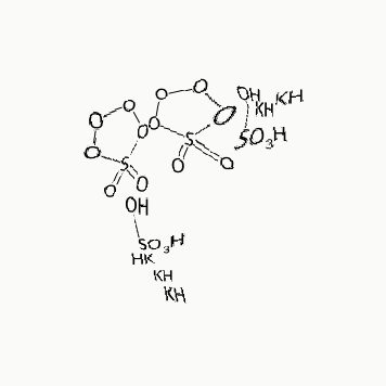 O=S(=O)(O)O.O=S(=O)(O)O.O=S1(=O)OOOO1.O=S1(=O)OOOO1.[KH].[KH].[KH].[KH].[KH]